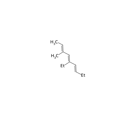 C/C=C(C)/C=C(/C=C/CC)CC